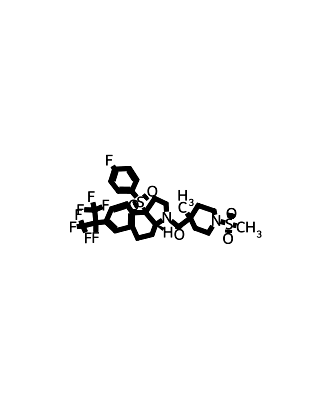 CC1(C(=O)N2CC[C@@]3(S(=O)(=O)c4ccc(F)cc4)c4ccc(C(F)(C(F)(F)F)C(F)(F)F)cc4CC[C@@H]23)CCN(S(C)(=O)=O)CC1